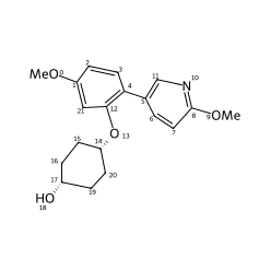 COc1ccc(-c2ccc(OC)nc2)c(O[C@H]2CC[C@@H](O)CC2)c1